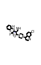 N=C/C(C(=O)N1CCN(c2ccnc3cc(Cl)ccc23)CC1)=C(\Nc1ccccc1)C(F)(F)F